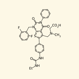 CCNC(=O)Nc1ccc(-c2sc3c(c2CN(C)CC(=O)O)c(=O)n(-c2ccccc2)c(=O)n3Cc2c(F)cccc2F)cc1